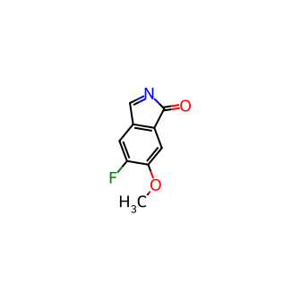 COc1cc2c(cc1F)C=NC2=O